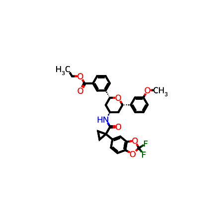 CCOC(=O)c1cccc([C@H]2C[C@@H](NC(=O)C3(c4ccc5c(c4)OC(F)(F)O5)CC3)C[C@@H](c3cccc(OC)c3)O2)c1